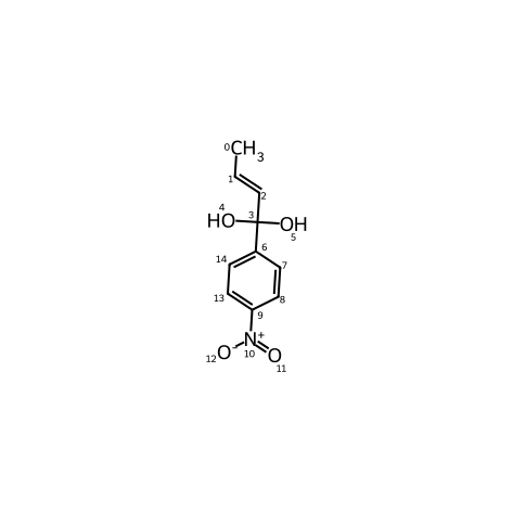 CC=CC(O)(O)c1ccc([N+](=O)[O-])cc1